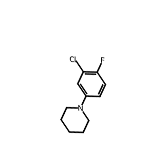 Fc1ccc(N2CCCCC2)cc1Cl